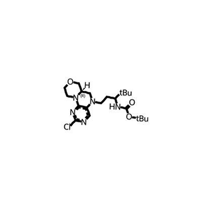 CC(C)(C)OC(=O)NC(CCN1C[C@@H]2COCCN2c2nc(Cl)ncc21)C(C)(C)C